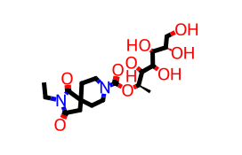 CCN1C(=O)CC2(CCN(C(=O)O[C@H](C)C(O)C(O)C(O)[C@@H](O)CO)CC2)C1=O